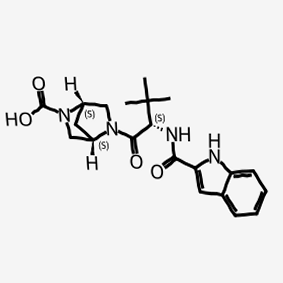 CC(C)(C)[C@H](NC(=O)c1cc2ccccc2[nH]1)C(=O)N1C[C@@H]2C[C@H]1CN2C(=O)O